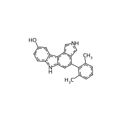 Cc1cccc(C)c1-c1cc2[nH]c3ccc(O)cc3c2c2c[nH]cc12